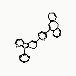 C1=CC2=C(C=C(c3ccc(C4=Cc5c(n(-c6ccccc6)c6ncccc56)CC4)nc3)c3ccccc3C2)CC1